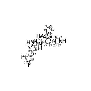 O=C(Nc1n[nH]c2ccc(Cc3cc(F)cc(F)c3)cc12)c1ccc(N2CCNCC2)cc1[AsH]C1CCOCC1